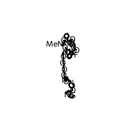 CN[C@@H](C)C(=O)NC(C(=O)N1CCN(C(=O)c2c(F)c3ccccc3n2CC(=O)N(C)CCOCCOCCOCCOc2cc(CN3CCC(Oc4ccnc5ccsc45)CC3)on2)CC1)C1CCCCC1